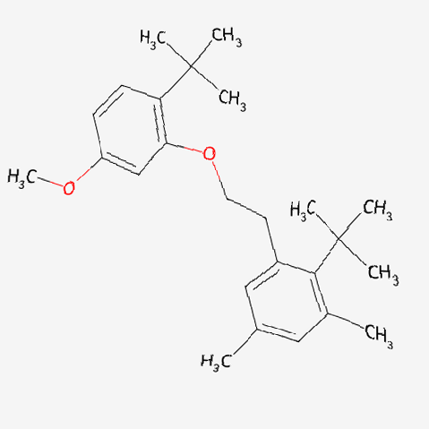 COc1ccc(C(C)(C)C)c(OCCc2cc(C)cc(C)c2C(C)(C)C)c1